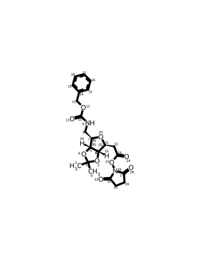 CC1(C)O[C@@H]2[C@H](O1)[C@@H](CNC(=O)OCc1ccccc1)O[C@H]2CC(=O)ON1C(=O)CCC1=O